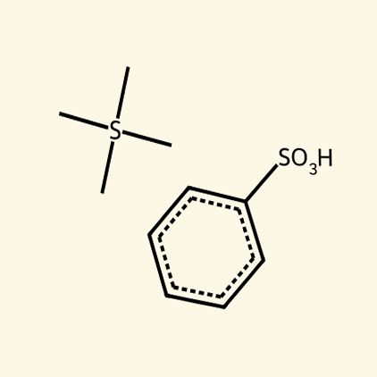 CS(C)(C)C.O=S(=O)(O)c1ccccc1